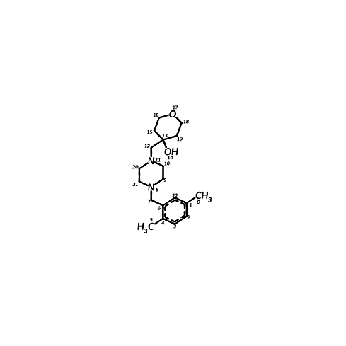 Cc1ccc(C)c(CN2CCN(CC3(O)CCOCC3)CC2)c1